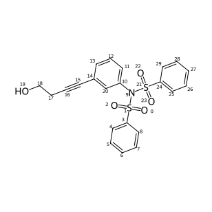 O=S(=O)(c1ccccc1)N(c1cccc(C#CCCO)c1)S(=O)(=O)c1ccccc1